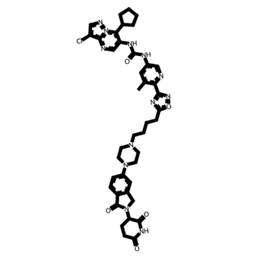 Cc1cc(NC(=O)Nc2cnc3c(Cl)cnn3c2C2CCCC2)cnc1-c1noc(CCCCN2CCN(c3ccc4c(c3)CN(C3CCC(=O)NC3=O)C4=O)CC2)n1